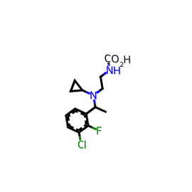 CC(c1cccc(Cl)c1F)N(CCNC(=O)O)C1CC1